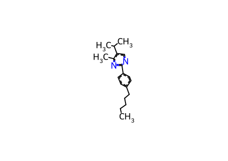 CCCCCc1ccc(-c2ncc(C(C)C)c(C)n2)cc1